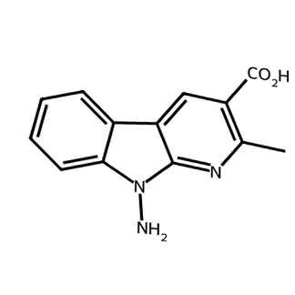 Cc1nc2c(cc1C(=O)O)c1ccccc1n2N